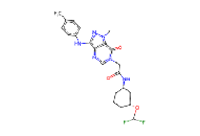 Cn1nc(Nc2ccc(C(F)(F)F)cc2)c2ncn(CC(=O)N[C@@H]3CCC[C@@H](OC(F)F)C3)c(=O)c21